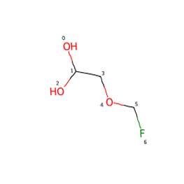 OC(O)COCF